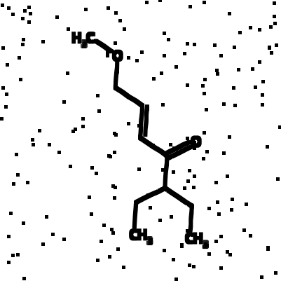 CCC(CC)C(=O)/C=C/COC